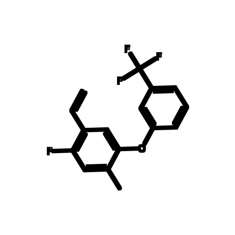 C=Cc1cc(Oc2cccc(C(F)(F)F)c2)c(C)cc1F